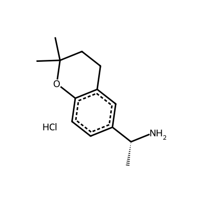 C[C@@H](N)c1ccc2c(c1)CCC(C)(C)O2.Cl